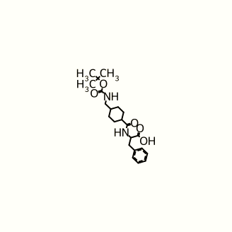 CC(C)(C)OC(=O)NCC1CCC(C(=O)NC(Cc2ccccc2)C(=O)O)CC1